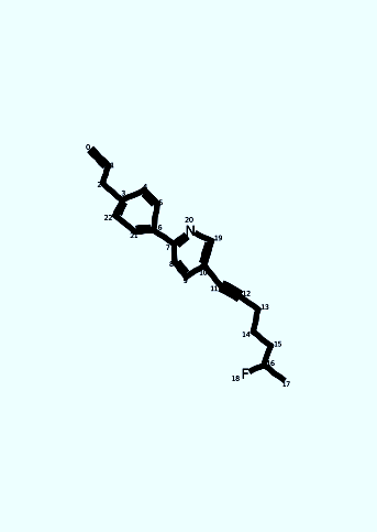 C=CCc1ccc(-c2ccc(C#CCCCC(C)F)cn2)cc1